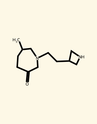 CC1CCC(=O)CN(CCC2CNC2)C1